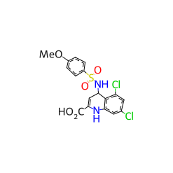 COc1ccc(S(=O)(=O)NC2C=C(C(=O)O)Nc3cc(Cl)cc(Cl)c32)cc1